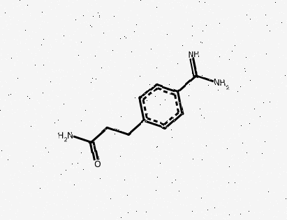 N=C(N)c1ccc(CCC(N)=O)cc1